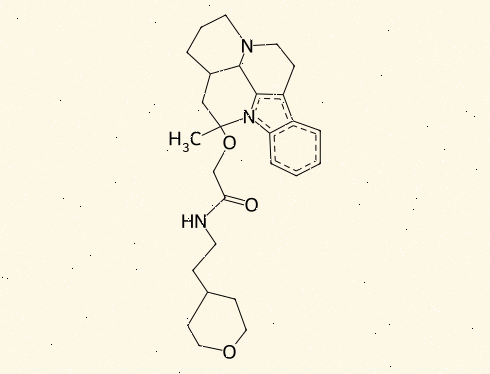 CC1(OCC(=O)NCCC2CCOCC2)CC2CCCN3CCc4c(n1c1ccccc41)C23